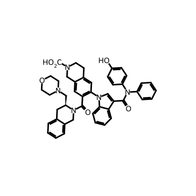 O=C(O)N1CCc2cc(-n3cc(C(=O)N(c4ccccc4)c4ccc(O)cc4)c4ccccc43)c(C(=O)N3Cc4ccccc4C[C@H]3CN3CCOCC3)cc2C1